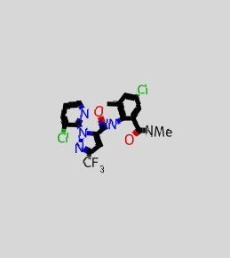 CNC(=O)c1cc(Cl)cc(C)c1NC(=O)c1cc(C(F)(F)F)nn1-c1ncccc1Cl